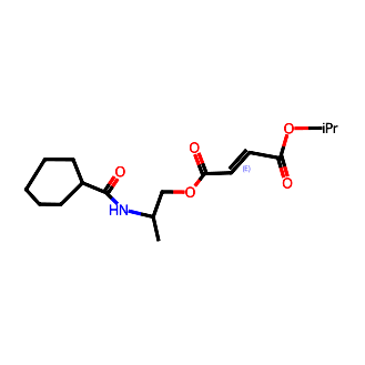 CC(COC(=O)/C=C/C(=O)OC(C)C)NC(=O)C1CCCCC1